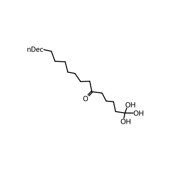 CCCCCCCCCCCCCCCCCC(=O)CCCCC(O)(O)O